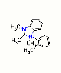 Cc1ccccc1[N@@+]1(C)c2ccccc2N(C)[C@@H]1C